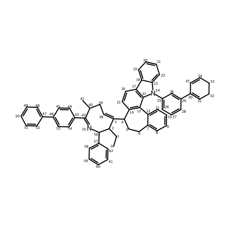 CCC1/C(C2CCc3ccccc3-c3c2ccc2c4ccccc4n(-c4cccc(C5=CCCC=C5)c4)c32)=C/CC(C)/C(c2ccc(-c3ccccc3)cc2)=N\C1c1ccccc1